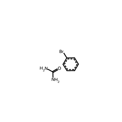 Brc1ccccc1.NC(N)=O